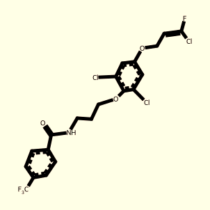 O=C(NCCCOc1c(Cl)cc(OCC=C(F)Cl)cc1Cl)c1ccc(C(F)(F)F)cc1